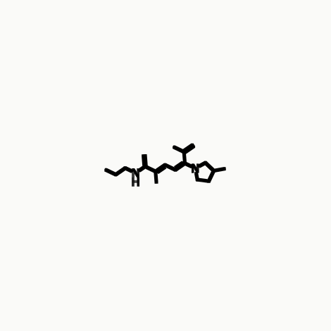 C=C(NCCC)/C(C)=C/C=C(\C(=C)C)N1CCC(C)C1